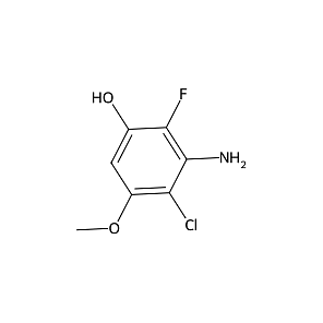 COc1cc(O)c(F)c(N)c1Cl